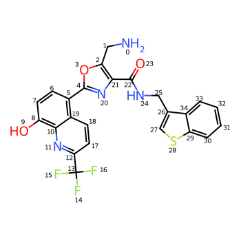 NCc1oc(-c2ccc(O)c3nc(C(F)(F)F)ccc23)nc1C(=O)NCc1csc2ccccc12